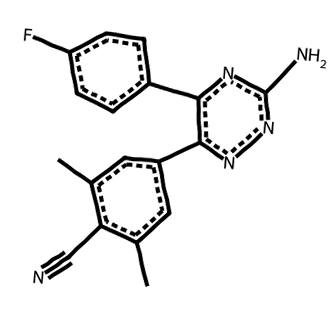 Cc1cc(-c2nnc(N)nc2-c2ccc(F)cc2)cc(C)c1C#N